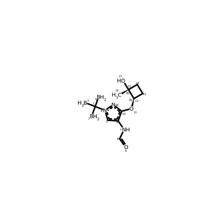 BC(B)(B)n1cc(NC=O)c(O[C@@H]2CC[C@@]2(C)O)n1